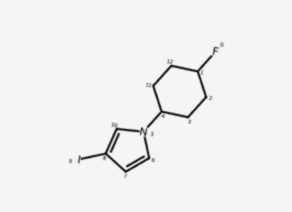 FC1CCC(n2ccc(I)c2)CC1